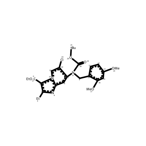 CCOC(=O)c1c(CC)nc2cc(N(Cc3ccc(OC)cc3OC)C(=O)OC(C)(C)C)c(Cl)cn12